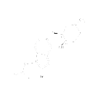 CN1CC[C@@H](Nc2nccn3c(SC(F)F)c(Br)cc23)[C@@H](F)C1